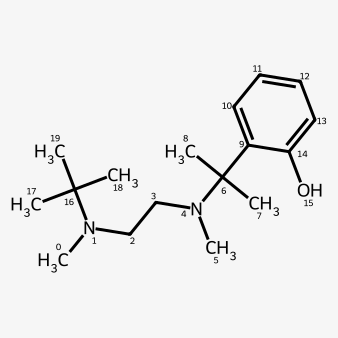 CN(CCN(C)C(C)(C)c1ccccc1O)C(C)(C)C